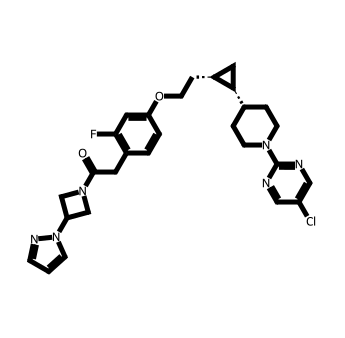 O=C(Cc1ccc(OCC[C@@H]2C[C@@H]2C2CCN(c3ncc(Cl)cn3)CC2)cc1F)N1CC(n2cccn2)C1